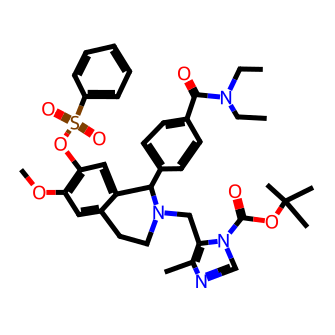 CCN(CC)C(=O)c1ccc(C2c3cc(OS(=O)(=O)c4ccccc4)c(OC)cc3CCN2Cc2c(C)ncn2C(=O)OC(C)(C)C)cc1